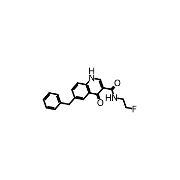 O=C(NCCF)c1c[nH]c2ccc(Cc3ccccc3)cc2c1=O